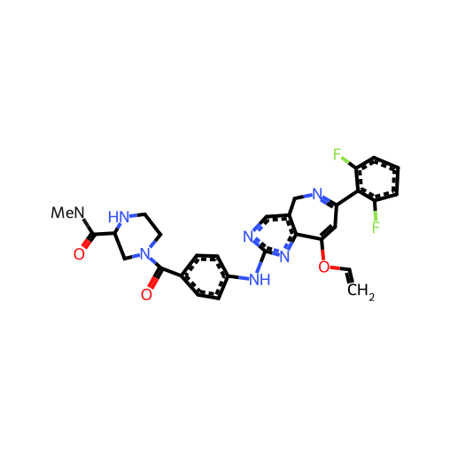 C=COC1=CC(c2c(F)cccc2F)=NCc2cnc(Nc3ccc(C(=O)N4CCNC(C(=O)NC)C4)cc3)nc21